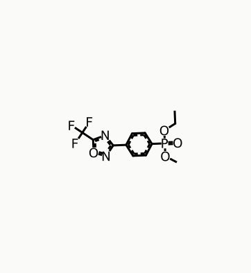 CCOP(=O)(OC)c1ccc(-c2noc(C(F)(F)F)n2)cc1